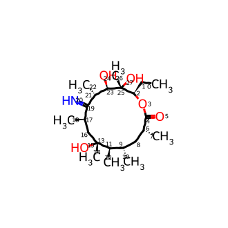 CC[C@H]1OC(=O)[C@H](C)C[C@H](C)[C@@H](C)[C@](C)(O)C[C@@H](C)C(=N)[C@H](C)[C@@H](O)[C@]1(C)O